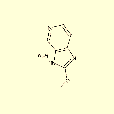 COc1nc2ccncc2[nH]1.[NaH]